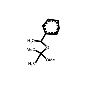 COC([SiH3])(OC)OC(C)c1ccccc1